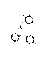 O=C(Nc1ccccc1Sc1ccc([N+](=O)[O-])cc1)Nc1cccc(Cl)c1Cl